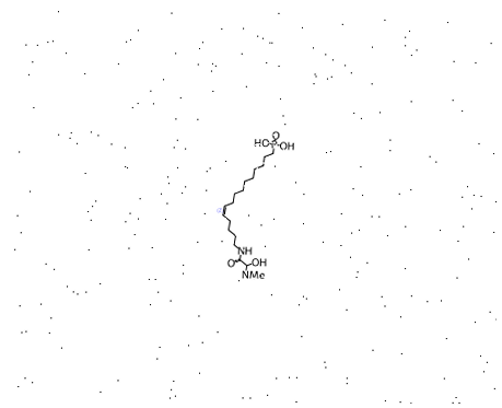 CNC(O)C(=O)NCCCC/C=C\CCCCCCCCCP(=O)(O)O